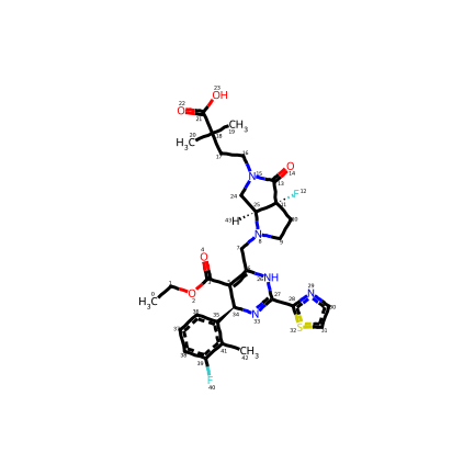 CCOC(=O)C1=C(CN2CC[C@]3(F)C(=O)N(CCC(C)(C)C(=O)O)C[C@H]23)NC(c2nccs2)=N[C@H]1c1cccc(F)c1C